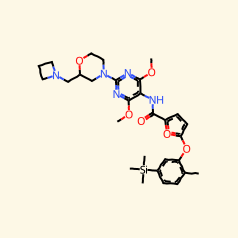 COc1nc(N2CCOC(CN3CCC3)C2)nc(OC)c1NC(=O)c1ccc(Oc2cc([Si](C)(C)C)ccc2C)o1